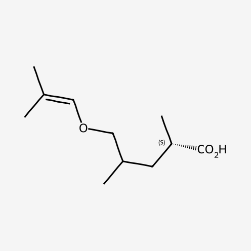 CC(C)=COCC(C)C[C@H](C)C(=O)O